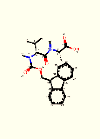 CC(C)[C@@H](C(=O)N(C)[C@@H](C)C(=O)O)N(C)C(=O)OCC1c2ccccc2-c2ccccc21